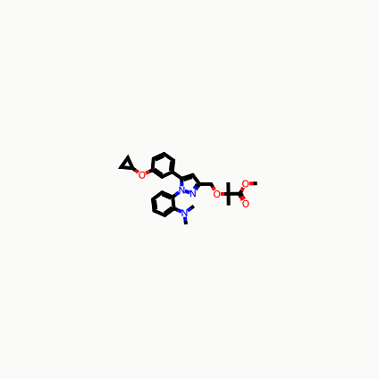 COC(=O)C(C)(C)OCc1cc(-c2cccc(OC3CC3)c2)n(-c2ccccc2N(C)C)n1